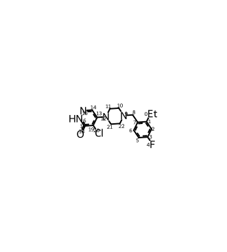 CCc1cc(F)ccc1CN1CCN(c2cn[nH]c(=O)c2Cl)CC1